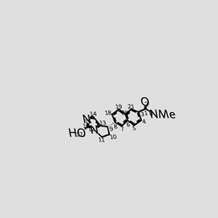 CNC(=O)c1ccc2cc([C@@H]3CCn4c3cnc4O)ccc2c1